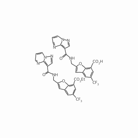 CCOC(=O)c1cc(C(F)(F)F)cc2cc(CNC(=O)c3cnn4cccnc34)oc12.O=C(O)c1cc(C(F)(F)F)cc2cc(CNC(=O)c3cnn4cccnc34)oc12